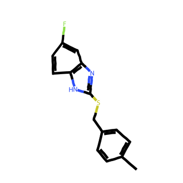 Cc1ccc(CSc2nc3cc(F)ccc3[nH]2)cc1